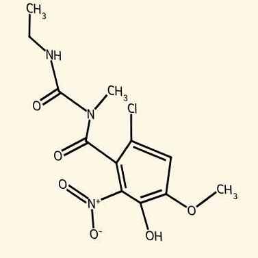 CCNC(=O)N(C)C(=O)c1c(Cl)cc(OC)c(O)c1[N+](=O)[O-]